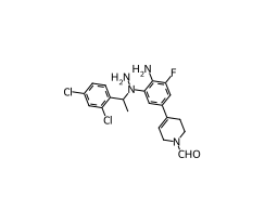 CC(c1ccc(Cl)cc1Cl)N(N)c1cc(C2=CCN(C=O)CC2)cc(F)c1N